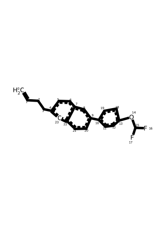 C=CCCc1ccc2cc(-c3ccc(OC(F)F)cc3)ccc2c1